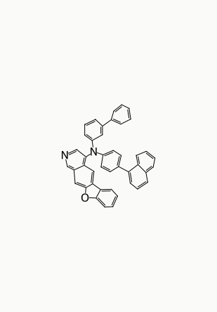 c1ccc(-c2cccc(N(c3ccc(-c4cccc5ccccc45)cc3)c3cncc4cc5oc6ccccc6c5cc34)c2)cc1